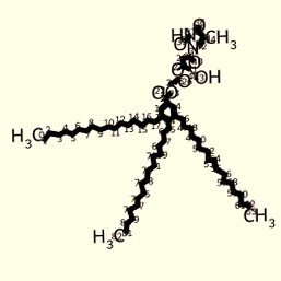 CCCCCCCCCCCCCCCCCCc1cc(C(=O)OCC(=O)O[C@H]2C[C@H](n3cc(C)c(=O)[nH]c3=O)O[C@@H]2CO)cc(CCCCCCCCCCCCCCCCCC)c1CCCCCCCCCCCCCCCCCC